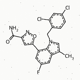 Cc1cn(Cc2ccc(Cl)cc2Cl)c2c(-c3cc(C(N)=O)no3)cc(F)cc12